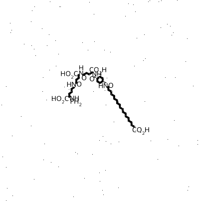 O=C(O)CCCCCCCCCCCCCCCCCCC(=O)NC[C@H]1CC[C@H](C(=O)N[C@@H](CCC(=O)N[C@@H](CCC(=O)NCCCC[C@H](NP)C(=O)O)C(=O)O)C(=O)O)CC1